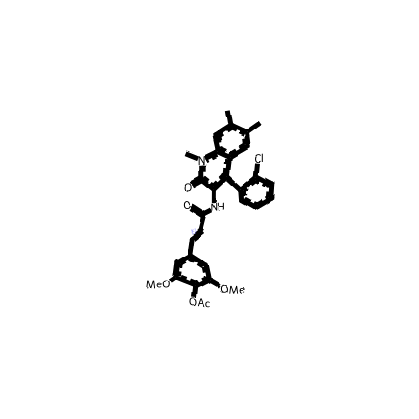 COc1cc(/C=C/C(=O)Nc2c(-c3ccccc3Cl)c3cc(C)c(C)cc3n(C)c2=O)cc(OC)c1OC(C)=O